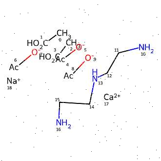 CC(=O)O.CC(=O)O.CC(=O)[O-].CC(=O)[O-].CC(=O)[O-].NCCNCCN.[Ca+2].[Na+]